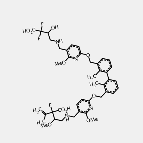 C=C(C)C(F)(C(=O)O)C(CNCc1ccc(OCc2cccc(-c3cccc(COc4ccc(CNCC(O)C(F)(F)C(=O)O)c(OC)n4)c3C)c2C)nc1OC)OC